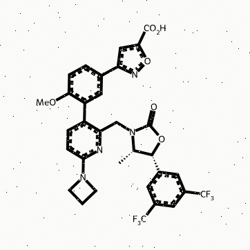 COc1ccc(-c2cc(C(=O)O)on2)cc1-c1ccc(N2CCC2)nc1CN1C(=O)O[C@H](c2cc(C(F)(F)F)cc(C(F)(F)F)c2)[C@@H]1C